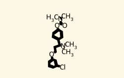 CN(C)C(=O)Oc1ccc(C(CCOc2cccc(Cl)c2)N(C)C)cc1